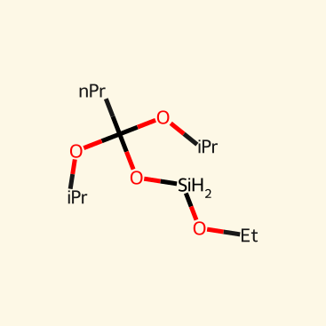 CCCC(O[SiH2]OCC)(OC(C)C)OC(C)C